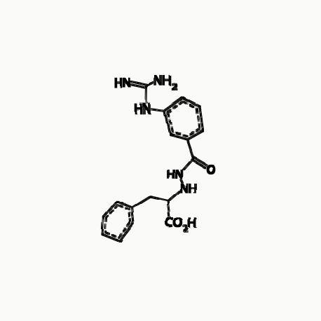 N=C(N)Nc1cccc(C(=O)NNC(Cc2ccccc2)C(=O)O)c1